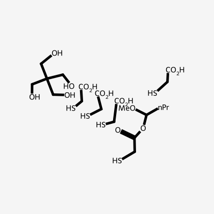 CCCC(OC)OC(=O)CS.O=C(O)CS.O=C(O)CS.O=C(O)CS.O=C(O)CS.OCC(CO)(CO)CO